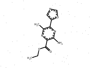 CCOC(=O)c1nc(C)c(-c2cnco2)nc1N